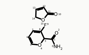 NC(=O)C1OC=CC=C1F.O=C1C=CCO1